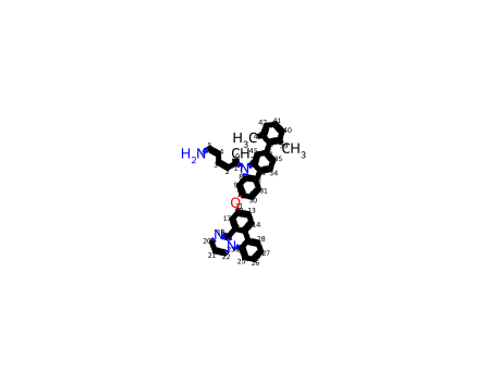 C=C(/C=C\C=C/N)n1c2cc(Oc3ccc4c(c3)C3=NCC=CN3c3ccccc3-4)ccc2c2ccc(-c3c(C)cccc3C)cc21